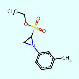 Cc1cccc(N2CC2S(=O)(=O)OCC(Cl)(Cl)Cl)c1